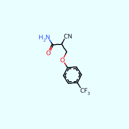 N#C[C](COc1ccc(C(F)(F)F)cc1)C(N)=O